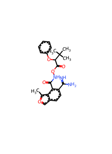 Cc1occ2ccc(C(=N)N)c(C(=O)NOC(=O)C(Oc3ccccc3)C(C)(C)C)c12